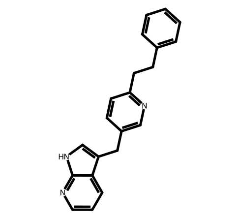 c1ccc(CCc2ccc(Cc3c[nH]c4ncccc34)cn2)cc1